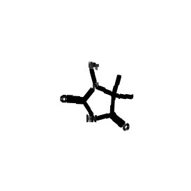 CC(C)N1C(=O)NC(=O)C1(C)C